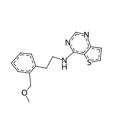 COCc1ccccc1CCNc1ncnc2ccsc12